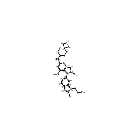 COc1nc(NC2CCC3(CC2)COC3)nn2cc(F)c(-c3ccc4nc(C)n(CCF)c4c3)c12